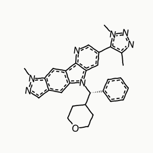 Cc1nnn(C)c1-c1cnc2c3cc4c(cnn4C)cc3n([C@H](c3ccccc3)C3CCOCC3)c2c1